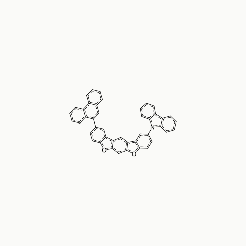 c1ccc2c(c1)cc(-c1ccc3oc4cc5oc6ccc(-n7c8ccccc8c8ccccc87)cc6c5cc4c3c1)c1ccccc12